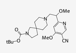 COc1cc(C(CN2CCC3(CC2)CCN(C(=O)OC(C)(C)C)C3)OC)ncc1C#N